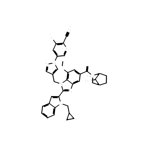 COc1cc(C(=O)N2CC3CCC2[C@@H]3N)cc2nc(-c3cc4ccccc4n3CC3CC3)n(Cc3cnn(-c4cnc(C#N)c(F)c4)c3)c12